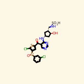 O=C(c1cc([S+]([O-])c2cccc(Cl)c2)c(Cl)s1)c1cncnc1N[C@@H]1C[C@H](CNS(=O)(=O)O)[C@@H](O)C1